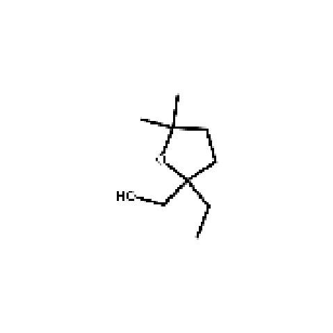 CCC1(CO)CCC(C)(C)O1